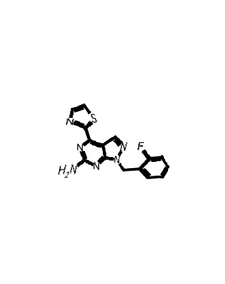 Nc1nc(-c2nccs2)c2cnn(Cc3ccccc3F)c2n1